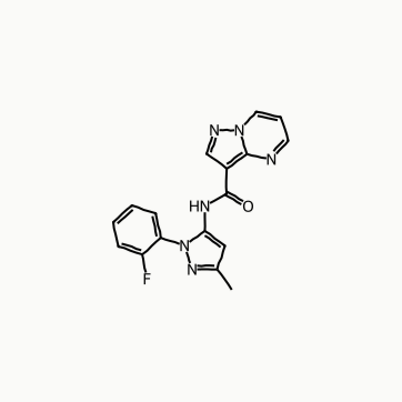 Cc1cc(NC(=O)c2cnn3cccnc23)n(-c2ccccc2F)n1